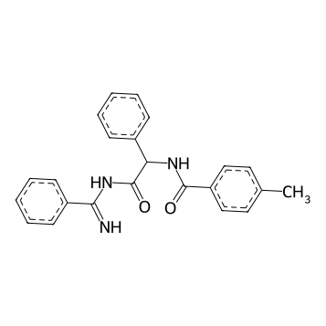 Cc1ccc(C(=O)NC(C(=O)NC(=N)c2ccccc2)c2ccccc2)cc1